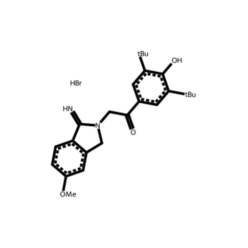 Br.COc1ccc2c(c1)CN(CC(=O)c1cc(C(C)(C)C)c(O)c(C(C)(C)C)c1)C2=N